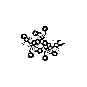 C=C/C=C1/C(=O)/C(=C/C2=Cc3cc4c(cc3C2(C(=O)OCc2ccccc2)C(=O)OCc2ccccc2)-c2cc3c(cc2C4(C(=O)OCc2ccccc2)C(=O)OCc2ccccc2)C=C(C=C2C(=O)c4ccccc4C2=O)C3(C(=O)OCc2ccccc2)C(=O)OCc2ccccc2)C(=O)/C1=C/C